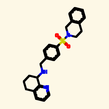 O=S(=O)(c1ccc(CNC2CCCc3cccnc32)cc1)N1CCc2ccccc2C1